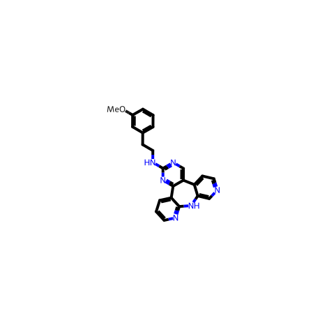 COc1cccc(CCNc2ncc3c(n2)-c2cccnc2Nc2cnccc2-3)c1